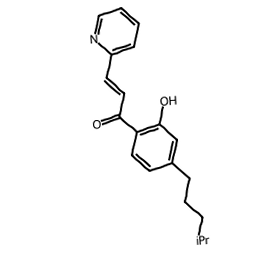 CC(C)CCCc1ccc(C(=O)/C=C/c2ccccn2)c(O)c1